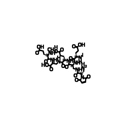 CN[C@@H](CCC(=O)O)C(=O)N[C@@H](CNC(=O)[C@H](CCC(=O)O)NC(=O)[C@H](CNC(=O)[C@H](CN)N1C(=O)C=CC1=O)NC(=O)[C@H](CCC(=O)O)NI)C(=O)O